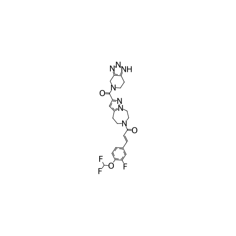 O=C(C=Cc1ccc(OC(F)F)c(F)c1)N1CCc2cc(C(=O)N3CCc4[nH]nnc4C3)nn2CC1